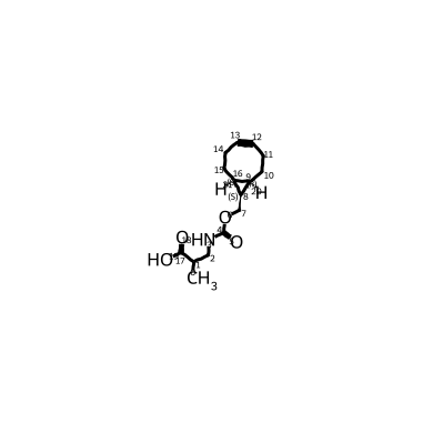 CC(CNC(=O)OC[C@@H]1[C@@H]2CCC#CCC[C@@H]21)C(=O)O